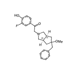 COC1(Cc2ccccc2)C[C@H]2CN(CC(=O)c3ccc(O)c(F)c3)C[C@H]2C1